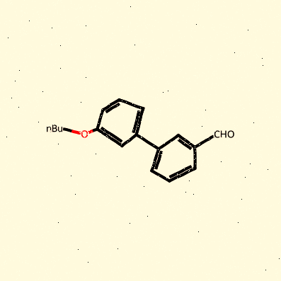 CCCCOc1cccc(-c2cccc(C=O)c2)c1